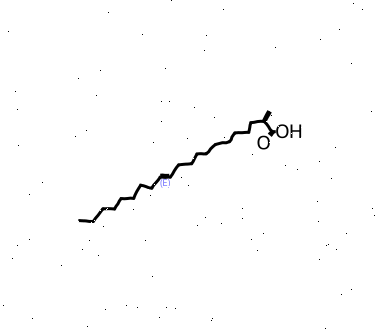 C=C(CCCCCCCCC/C=C/CCCCCCCC)C(=O)O